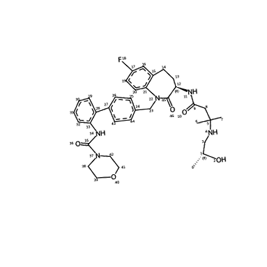 C[C@@H](O)CNC(C)(C)CC(=O)N[C@@H]1CCc2cc(F)ccc2N(Cc2ccc(-c3ccccc3NC(=O)N3CCOCC3)cc2)C1=O